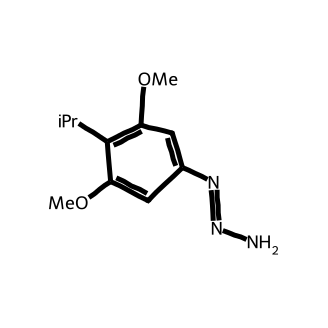 COc1cc(N=NN)cc(OC)c1C(C)C